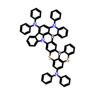 c1ccc(N(c2ccccc2)c2cc3c4c(c2)Sc2cc5c(cc2B4c2ccccc2S3)B2c3ccccc3N(c3ccccc3)c3cc(N(c4ccccc4)c4ccccc4)c4c6ccccc6n-5c4c32)cc1